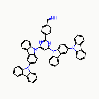 N=Cc1ccc(-c2nc(-n3c4ccccc4c4cc(-n5c6ccccc6c6ccccc65)ccc43)cc(-n3c4ccccc4c4cc(-n5c6ccccc6c6ccccc65)ccc43)n2)cc1